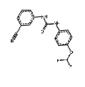 N#Cc1cccc(NC(=O)Nc2ccc(OC(F)F)cc2)c1